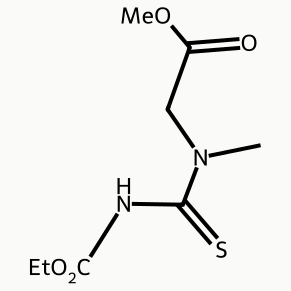 CCOC(=O)NC(=S)N(C)CC(=O)OC